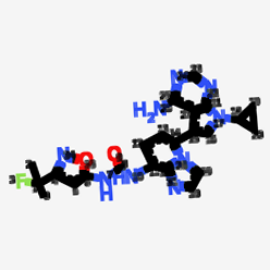 CC(C)(F)c1cc(NC(=O)Nc2ccc(-c3cn(C4CC4)c4ncnc(N)c34)n3ccnc23)on1